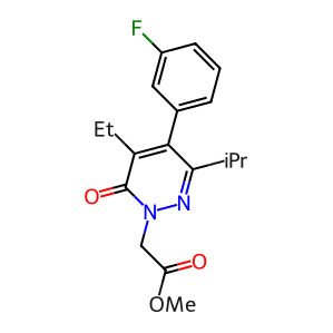 CCc1c(-c2cccc(F)c2)c(C(C)C)nn(CC(=O)OC)c1=O